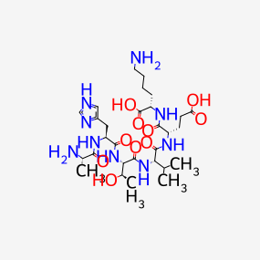 CC(C)[C@H](NC(=O)[C@@H](NC(=O)[C@H](Cc1c[nH]cn1)NC(=O)[C@H](C)N)[C@@H](C)O)C(=O)N[C@@H](CCC(=O)O)C(=O)N[C@@H](CCCCN)C(=O)O